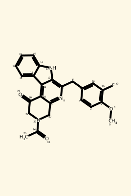 COc1ccc(Cc2nc3c(c4c2[nH]c2ccccc24)C(=O)CN(C(C)=O)C3)cc1F